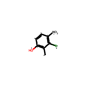 Cc1c(O)ccc([N+](=O)[O-])c1Br